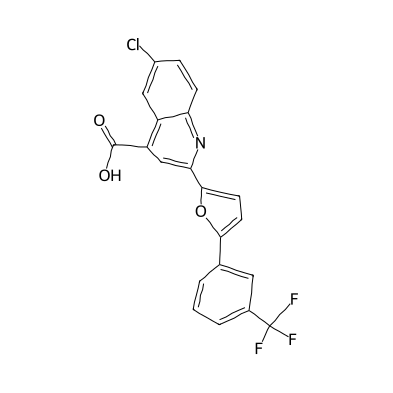 O=C(O)c1cc(-c2ccc(-c3cccc(C(F)(F)F)c3)o2)nc2ccc(Cl)cc12